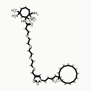 CC1(N)CCCC(C)(N)C(C)(NC(=O)CCOCCOCCOCCOCc2cn(CCCCC3(C)CCCCCCCCCCCC3)nn2)C1